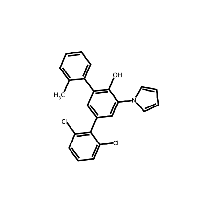 Cc1ccccc1-c1cc(-c2c(Cl)cccc2Cl)cc(-n2cccc2)c1O